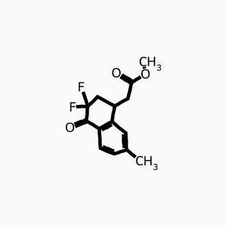 COC(=O)CC1CC(F)(F)C(=O)c2ccc(C)cc21